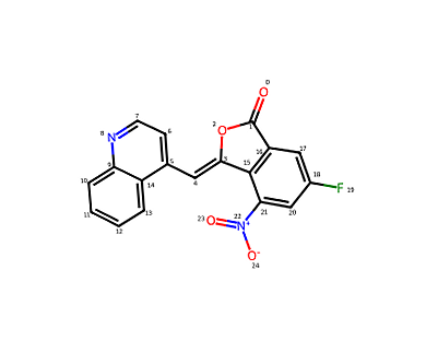 O=C1OC(=Cc2ccnc3ccccc23)c2c1cc(F)cc2[N+](=O)[O-]